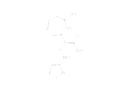 N=C1CCCCC(C(CNC2=NCCC2)C(N)=O)N1